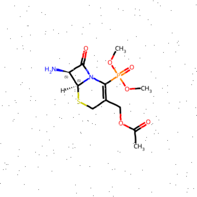 COP(=O)(OC)C1=C(COC(C)=O)CS[C@H]2[C@@H](N)C(=O)N12